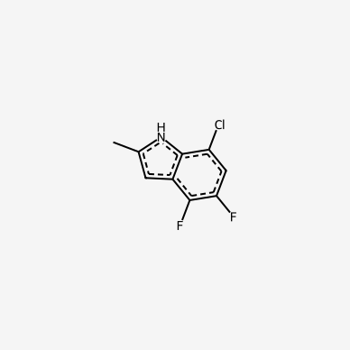 Cc1cc2c(F)c(F)cc(Cl)c2[nH]1